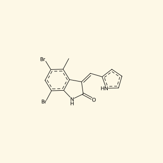 Cc1c(Br)cc(Br)c2c1C(=Cc1ccc[nH]1)C(=O)N2